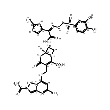 CC1=NC2=CN(C(N)=O)NN2C(SCC2=C(C(=O)O)N3C[C@@H](NC(=O)/C(=N\OCS(=O)(=O)c4ccc(O)c(O)c4)c4csc(N)n4)[C@H]3SC2=O)=C1